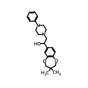 CC1(C)COc2ccc(C(O)CN3CCN(c4ccccc4)CC3)cc2OC1